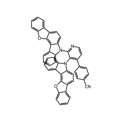 N#Cc1ccc(-c2ccnc(-n3c4ccccc4c4c5oc6ccccc6c5ccc43)c2-n2c3ccccc3c3c4oc5ccccc5c4ccc32)cc1